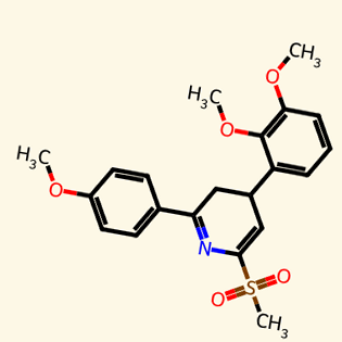 COc1ccc(C2=NC(S(C)(=O)=O)=CC(c3cccc(OC)c3OC)C2)cc1